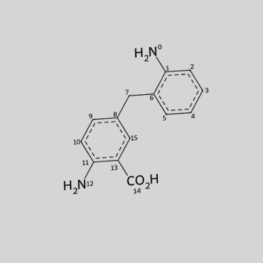 Nc1ccccc1Cc1ccc(N)c(C(=O)O)c1